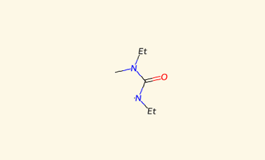 CC[N]C(=O)N(C)CC